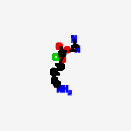 Cc1c(COc2cc(OCc3cncc(C#N)c3)c(C=O)cc2Cl)cccc1-c1cccc(-c2ccc3c(c2)CC(N)C3)c1C